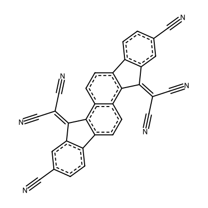 N#CC(C#N)=C1c2cc(C#N)ccc2-c2ccc3c4c(ccc3c21)-c1ccc(C#N)cc1C4=C(C#N)C#N